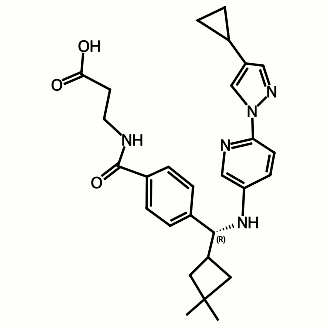 CC1(C)CC([C@@H](Nc2ccc(-n3cc(C4CC4)cn3)nc2)c2ccc(C(=O)NCCC(=O)O)cc2)C1